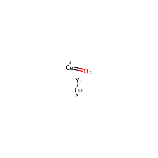 [Lu].[O]=[Ce].[Y]